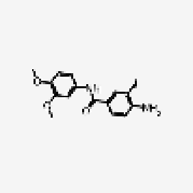 COc1ccc(NC(=O)c2ccc(N)c(I)c2)cc1OC